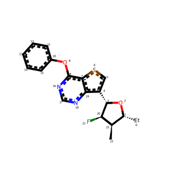 CC[C@H]1O[C@@H](c2csc3c(Oc4ccccc4)ncnc23)[C@H](F)[C@@H]1C